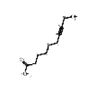 CC(=O)CCCCCC#CCO